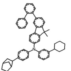 CC1(C)c2ccc(-c3ccccc3-c3ccccc3)cc2-c2ccc(N(c3ccc(C4CC5CCC4C5)cc3)c3cccc(C4CCCCC4)c3)cc21